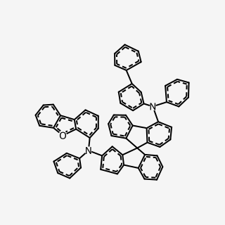 c1ccc(-c2cccc(N(c3ccccc3)c3cccc4c3-c3ccccc3C43c4ccccc4-c4ccc(N(c5ccccc5)c5cccc6c5oc5ccccc56)cc43)c2)cc1